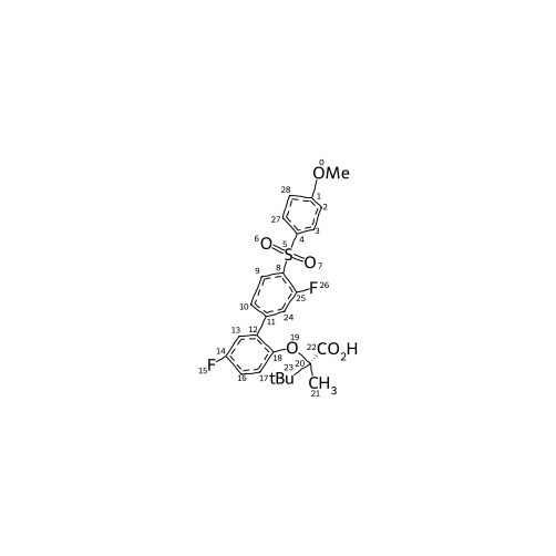 COc1ccc(S(=O)(=O)c2ccc(-c3cc(F)ccc3O[C@](C)(C(=O)O)C(C)(C)C)cc2F)cc1